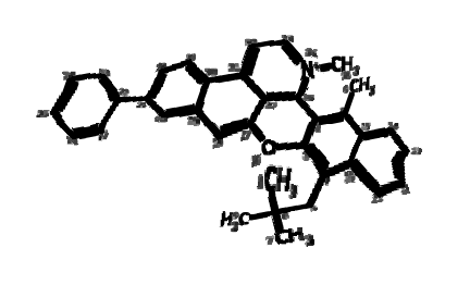 Cc1c2c(c(CC(C)(C)C)c3ccccc13)Oc1cc3cc(-c4ccccc4)ccc3c3cc[n+](C)c-2c13